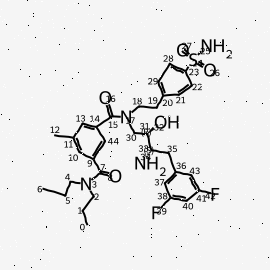 CCCN(CCC)C(=O)c1cc(C)cc(C(=O)N(CCc2ccc(S(N)(=O)=O)cc2)C[C@@H](O)[C@@H](N)Cc2cc(F)cc(F)c2)c1